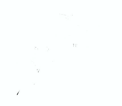 C[C@H]1CCC(=O)N(C[C@H](O)Cn2c3ccccc3c3ccccc32)C1